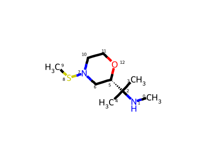 CNC(C)(C)[C@@H]1CN(SC)CCO1